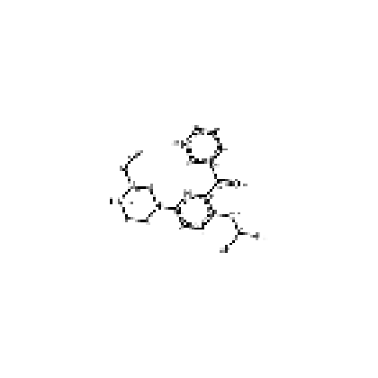 CC(C)C[C@H]1CN(c2ccc(OC(F)F)c(C(=O)c3cccnc3)n2)CCN1